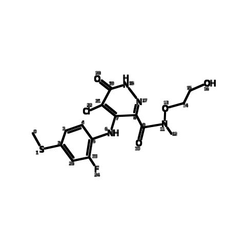 CSc1ccc(Nc2c(C(=O)N(C)OCCO)n[nH]c(=O)c2Cl)c(F)c1